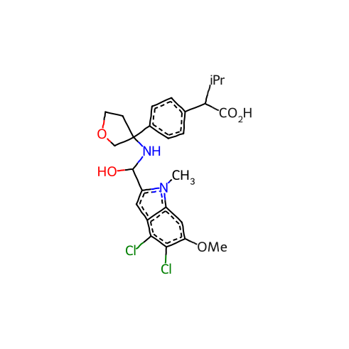 COc1cc2c(cc(C(O)NC3(c4ccc(C(C(=O)O)C(C)C)cc4)CCOC3)n2C)c(Cl)c1Cl